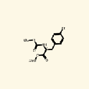 CCc1ccc(C[C@H](NC(=O)OC(C)(C)C)C(=O)OOC)cc1